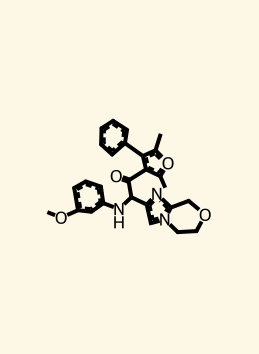 COc1cccc(NC(C(=O)c2c(C)oc(C)c2-c2ccccc2)c2cn3c(n2)COCC3)c1